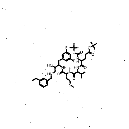 CCc1cccc(CNCC(O)C(Cc2cc(F)cc(F)c2)NC(=O)C(CCSC)NC(=O)C(NC(=O)C(CCC(=O)OC(C)(C)C)NC(=O)OC(C)(C)C)C(C)C)c1